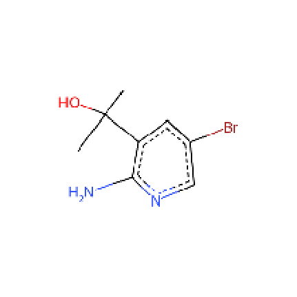 CC(C)(O)c1cc(Br)cnc1N